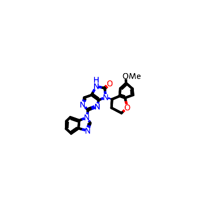 COc1ccc2c(c1)[C@H](n1c(=O)[nH]c3cnc(-n4cnc5ccccc54)nc31)CCO2